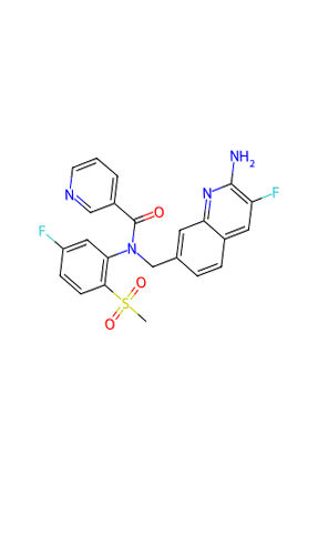 CS(=O)(=O)c1ccc(F)cc1N(Cc1ccc2cc(F)c(N)nc2c1)C(=O)c1cccnc1